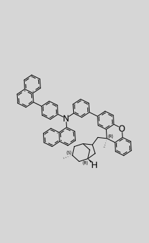 C[C@@H]1CC2C[C@H](CC2C[C@]2(C)c3ccccc3Oc3ccc(-c4cccc(N(c5ccc(-c6cccc7ccccc67)cc5)c5cccc6ccccc56)c4)cc32)C1